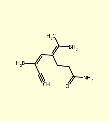 B/C(C#C)=C/C(CCC(N)=O)=C(/B)C